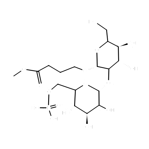 COC(=O)CCCO[C@@H]1OC(CO)[C@@H](O)[C@H](O)C1O[C@H]1OC(COP(=O)(O)O)[C@@H](O)[C@H](O)C1O